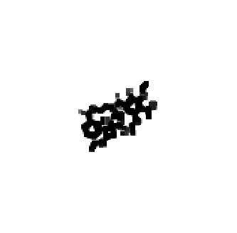 CCOc1cc([C@@H](C)N(CCO[C@@H](C)c2ccccc2)C(=O)NC2(C(=O)O)CC(OCC)C2)c(Cl)c(OCC)c1C(C)=O